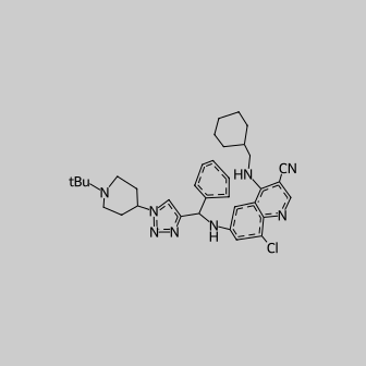 CC(C)(C)N1CCC(n2cc(C(Nc3cc(Cl)c4ncc(C#N)c(NCC5CCCCC5)c4c3)c3ccccc3)nn2)CC1